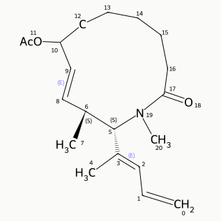 C=C/C=C(\C)[C@@H]1[C@@H](C)/C=C/C(OC(C)=O)CCCCCC(=O)N1C